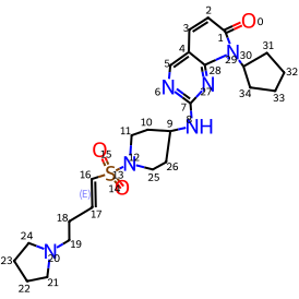 O=c1ccc2cnc(NC3CCN(S(=O)(=O)/C=C/CCN4CCCC4)CC3)nc2n1C1CCCC1